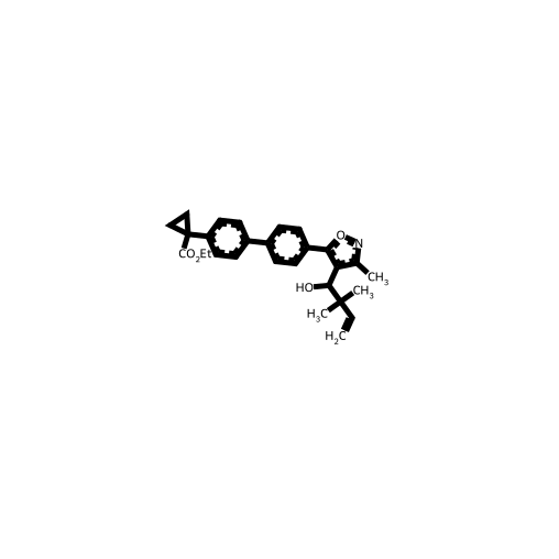 C=CC(C)(C)C(O)c1c(C)noc1-c1ccc(-c2ccc(C3(C(=O)OCC)CC3)cc2)cc1